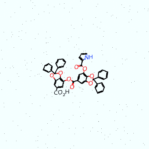 O=C(O)c1cc(OC(=O)c2cc(OC(=O)c3ccc[nH]3)c3c(c2)OC(c2ccccc2)(c2ccccc2)O3)c2c(c1)OC(c1ccccc1)(c1ccccc1)O2